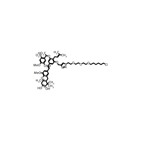 COc1cc(C(Oc2cc(/C=C/c3cc4c(c(OC)c3)O[C@]3(C)C[C@@H](O)[C@@H](O)C(C)(C)C3C4)cc(OCc3cn(CCOCCOCCOCCCCCCCl)nn3)c2CC=C(C)C)C(=O)O)c([N+](=O)[O-])cc1OC